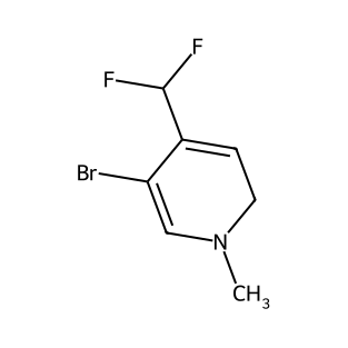 CN1C=C(Br)C(C(F)F)=CC1